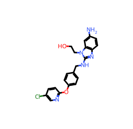 Nc1ccc2nc(NCc3ccc(Oc4ccc(Cl)cn4)cc3)n(CCO)c2c1